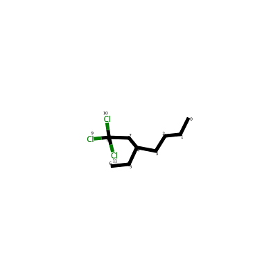 CCCCC(CC)CC(Cl)(Cl)Cl